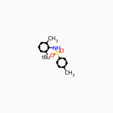 Cc1ccc(S(=O)(=O)Nc2c(C)cccc2C(C)(C)C)cc1